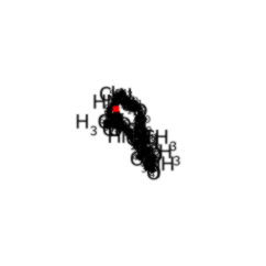 CNC(=O)COc1cc2cc(Nc3nc(N4CCC(OC5CC(N6CCN(c7ccc8c(c7Cl)[C@H](C)N([C@@H]7CCC(=O)NC7=O)C8=O)[C@H](C)C6)C5)CC4)ncc3Cl)ccc2n(C(C)C)c1=O